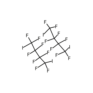 FC(F)(I)C(F)(F)C(F)(F)C(F)(F)I.FC(F)(I)C(F)(F)C(F)(F)C(F)(F)I